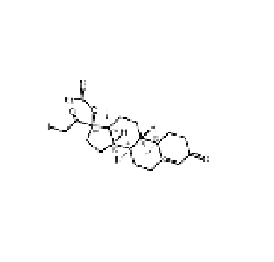 CCC(=O)O[C@]1(C(=O)CI)CC[C@H]2[C@@H]3CCC4=CC(=O)CC[C@]4(C)[C@H]3CC[C@@]21C